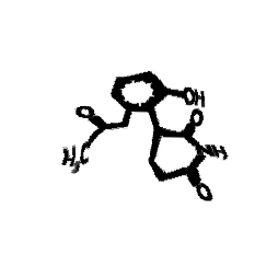 CC(=O)Cc1cccc(O)c1C1CCC(=O)NC1=O